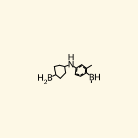 BC1CCC(Nc2ccc(BC)c(C)c2)CC1